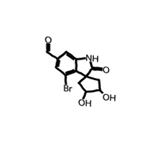 O=Cc1cc(Br)c2c(c1)NC(=O)C21CC(O)C(O)C1